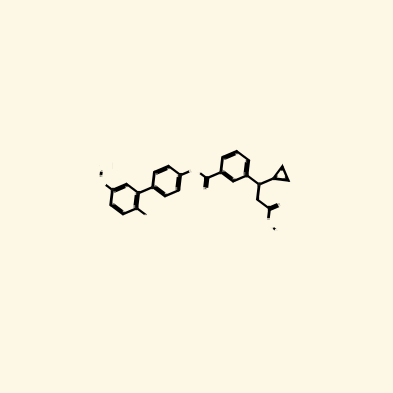 COC(=O)CC(c1cccc(C(=O)Oc2ccc(-c3cc(OC)ccc3F)cc2)c1)C1CC1